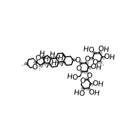 C[C@@H]1CC[C@@]2(OC1)O[C@H]1C[C@H]3[C@@H]4CC=C5C[C@@H](O[C@@H]6O[C@H](CO)[C@@H](O[C@@H]7OC[C@@H](O)[C@H](O)[C@H]7O)[C@H](O)[C@H]6O[C@@H]6O[C@@H](C)[C@H](O)[C@@H](O)[C@H]6O)CC[C@]5(C)[C@H]4CC[C@]3(C)[C@H]1[C@@H]2C